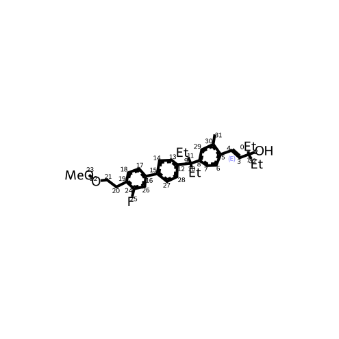 CCC(O)(/C=C/c1ccc(C(CC)(CC)c2ccc(-c3ccc(CCOOC)c(F)c3)cc2)cc1C)CC